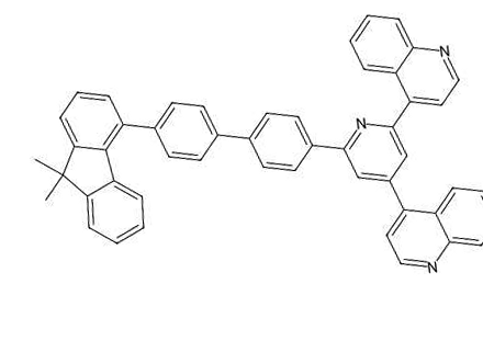 CC1(C)c2ccccc2-c2c(-c3ccc(-c4ccc(-c5cc(-c6ccnc7ccccc67)cc(-c6ccnc7ccccc67)n5)cc4)cc3)cccc21